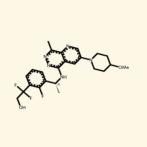 COC1CCN(c2cnc3c(C)nnc(N[C@H](C)c4cccc(C(F)(F)CO)c4F)c3c2)CC1